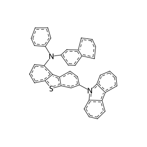 c1ccc(N(c2ccc3ccccc3c2)c2cccc3sc4cc(-n5c6ccccc6c6ccccc65)ccc4c23)cc1